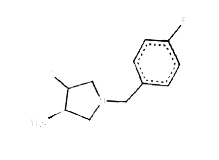 C[C@@H]1CN(Cc2ccc(F)cc2)CC1F